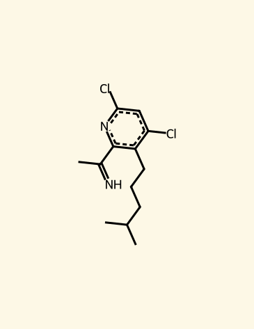 CC(=N)c1nc(Cl)cc(Cl)c1CCCC(C)C